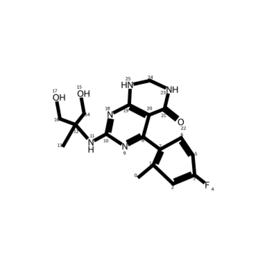 Cc1cc(F)ccc1-c1nc(NC(C)(CO)CO)nc2c1C(=O)NCN2